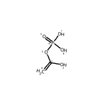 C=C(O)OP(=O)(O)O